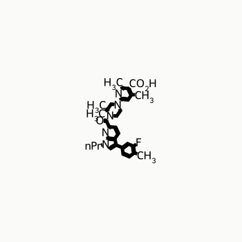 CCCn1cc(-c2ccc(C)c(F)c2)c2ccc(C(=O)N3CCN(c4cc(C)c(C(=O)O)c(C)n4)CC3(C)C)nc21